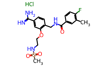 Cc1cc(C(=O)NCc2ccc(C(=N)N)cc2OCCNS(C)(=O)=O)ccc1F.Cl